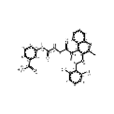 Cc1nc2ccccc2c(N(C)C(=O)CNC(=O)Nc2cccc(C(N)=O)c2)c1OCc1c(Cl)cccc1Cl